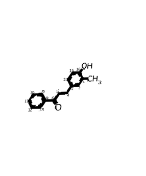 Cc1cc(CCC(=O)c2ccccc2)ccc1O